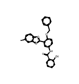 Cc1ccc2oc(-c3cc(NC(=O)c4ccccc4O)ccc3OCc3ccccc3)nc2c1